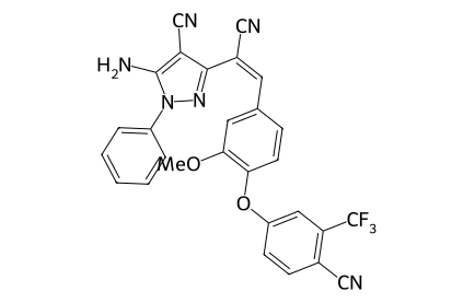 COc1cc(C=C(C#N)c2nn(-c3ccccc3)c(N)c2C#N)ccc1Oc1ccc(C#N)c(C(F)(F)F)c1